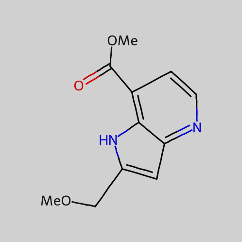 COCc1cc2nccc(C(=O)OC)c2[nH]1